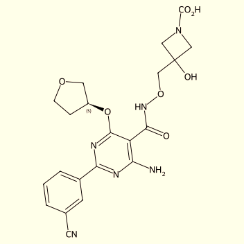 N#Cc1cccc(-c2nc(N)c(C(=O)NOCC3(O)CN(C(=O)O)C3)c(O[C@H]3CCOC3)n2)c1